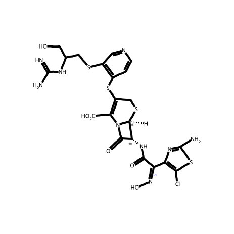 N=C(N)NC(CO)CSc1cnccc1SC1=C(C(=O)O)N2C(=O)[C@@H](NC(=O)/C(=N\O)c3nc(N)sc3Cl)[C@@H]2SC1